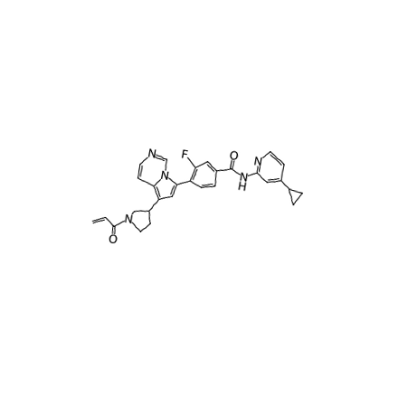 C=CC(=O)N1CCC(c2cc(-c3ccc(C(=O)Nc4cc(C5CC5)ccn4)cc3F)n3cnccc23)C1